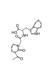 CC(=O)c1cccn(CC(=O)NC(Cc2c[nH]c3ccccc23)C(=O)O)c1=O